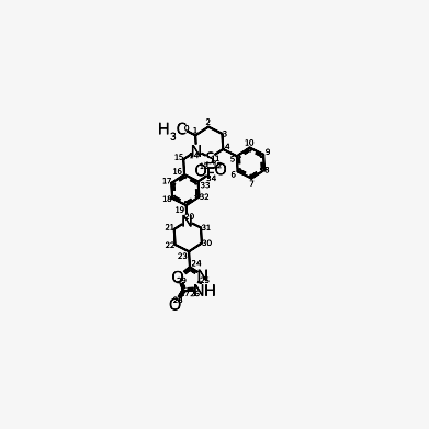 CC1CCC(c2ccccc2)S(=O)(=O)N1Cc1ccc(N2CCC(c3n[nH]c(=O)o3)CC2)cc1F